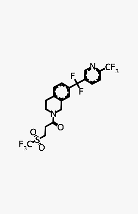 O=C(CCS(=O)(=O)C(F)(F)F)N1CCc2ccc(C(F)(F)c3ccc(C(F)(F)F)nc3)cc2C1